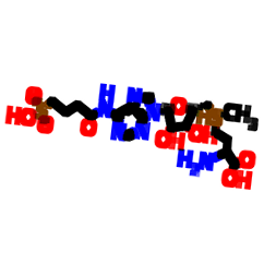 C[SH](CCC(N)C(=O)O)C[C@H]1O[C@@H](n2cnc3c(NC(=O)CCCS(=O)(=O)O)ncnc32)C(O)C1O